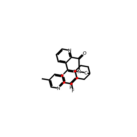 Cc1ccc(NC2CC3CCC2N(C(=O)c2ncccc2-c2ncc(F)cn2)C3)nc1